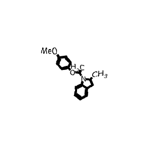 COc1ccc(OC(C)N2c3ccccc3CC2C)cc1